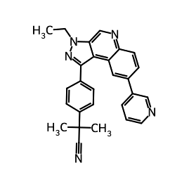 CCn1nc(-c2ccc(C(C)(C)C#N)cc2)c2c3cc(-c4cccnc4)ccc3ncc21